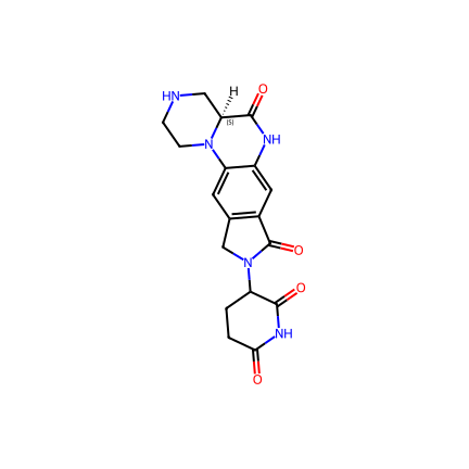 O=C1CCC(N2Cc3cc4c(cc3C2=O)NC(=O)[C@@H]2CNCCN42)C(=O)N1